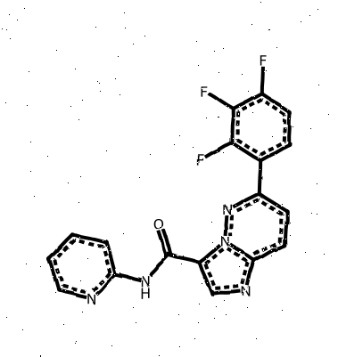 O=C(Nc1ccccn1)c1cnc2ccc(-c3ccc(F)c(F)c3F)nn12